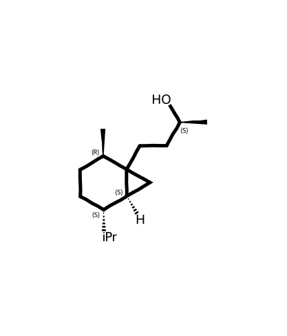 CC(C)[C@@H]1CC[C@@H](C)C2(CC[C@H](C)O)C[C@@H]12